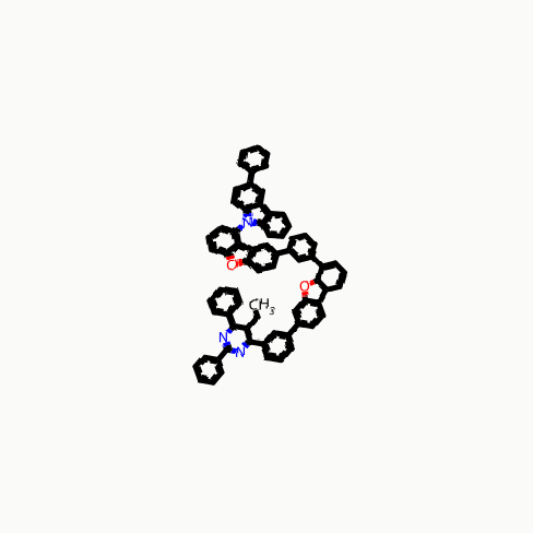 CCC1C(c2cccc(-c3ccc4c(c3)OC3C(c5cccc(-c6ccc7oc8cccc(-n9c%10ccccc%10c%10cc(-c%11ccccc%11)ccc%109)c8c7c6)c5)=CC=CC43)c2)=NC(c2ccccc2)=NC1c1ccccc1